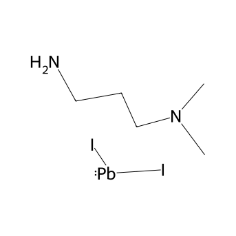 CN(C)CCCN.[I][Pb][I]